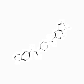 Cn1ncc2cc(S(=O)(=O)N3CCC(C(=O)Nc4ccc5scnc5c4)CC3)cnc21